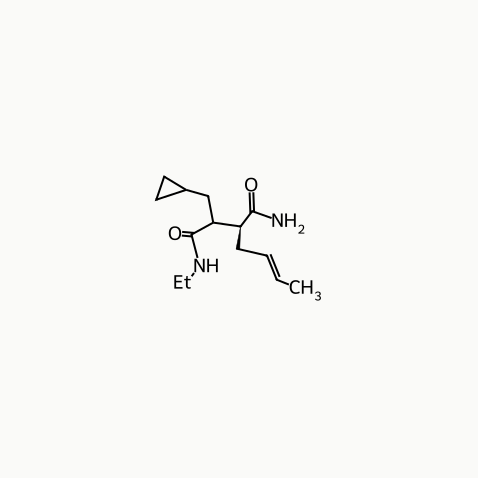 C/C=C/C[C@H](C(N)=O)C(CC1CC1)C(=O)NCC